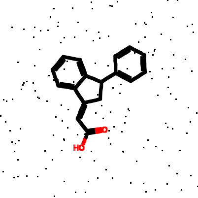 O=C(O)/C=C1\CC(c2ccccc2)c2ccccc21